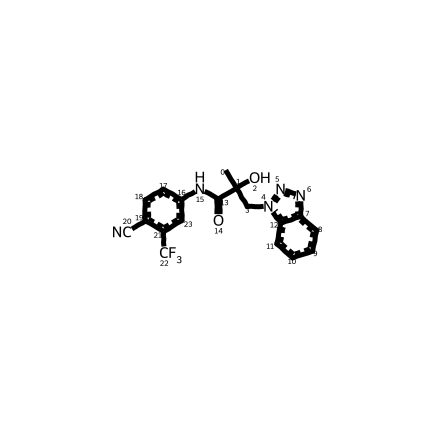 CC(O)(Cn1nnc2ccccc21)C(=O)Nc1ccc(C#N)c(C(F)(F)F)c1